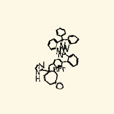 CCCC1CC(=O)CCCC1(Cc1ccc(-c2ccccc2-c2nnn(C(c3ccccc3)(c3ccccc3)c3ccccc3)n2)cc1)c1ncc[nH]1